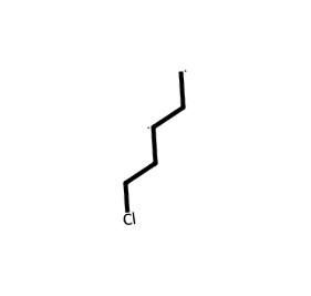 [CH2]C[CH]CCCl